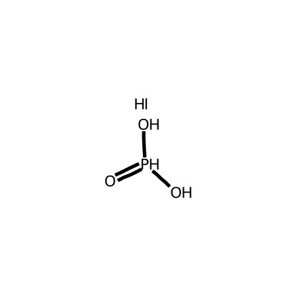 I.O=[PH](O)O